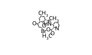 COC(=O)c1ncccc1N[C@H](C)c1cc(C)cc2c(=O)cc(Br)oc12